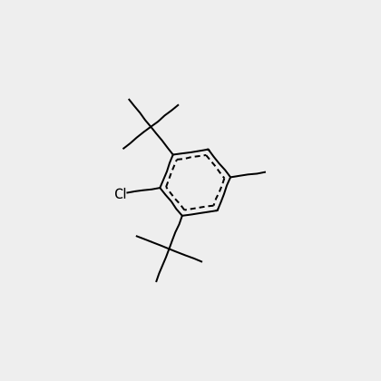 Cc1cc(C(C)(C)C)c(Cl)c(C(C)(C)C)c1